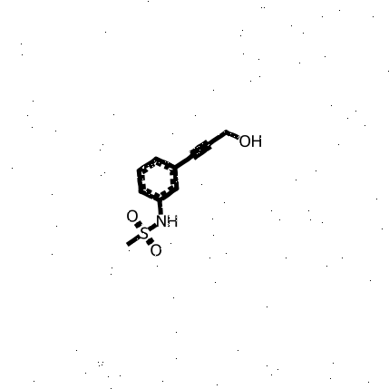 CS(=O)(=O)Nc1cccc(C#CCO)c1